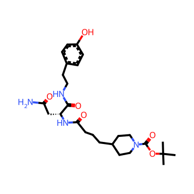 CC(C)(C)OC(=O)N1CCC(CCCC(=O)N[C@H](CC(N)=O)C(=O)NCCc2ccc(O)cc2)CC1